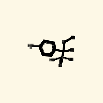 CCOC(CC)(c1ccc(N)cc1)P(=O)(O)O